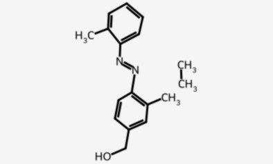 CC.Cc1ccccc1N=Nc1ccc(CO)cc1C